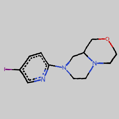 Ic1ccc(N2CCN3CCOCC3C2)nc1